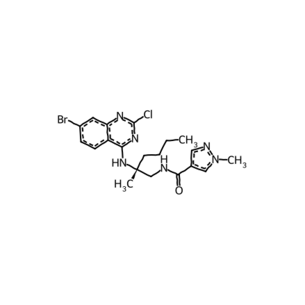 CCCC[C@](C)(CNC(=O)c1cnn(C)c1)Nc1nc(Cl)nc2cc(Br)ccc12